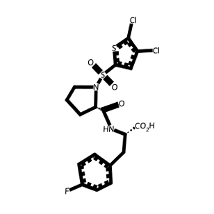 O=C(O)[C@H](Cc1ccc(F)cc1)NC(=O)[C@@H]1CCCN1S(=O)(=O)c1cc(Cl)c(Cl)s1